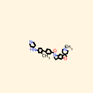 Cc1cc(Nc2ccncc2)ccc1-c1ccc(C(=O)N2CCc3cc4c(cc32)C2(CCN(C)CC2)CO4)cc1